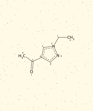 CCn1cc(C(C)=O)cn1